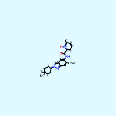 COc1cc2nn(C3CCC(C)(C#N)CC3)cc2cc1NC(=O)c1cccc(C)[n+]1[O-]